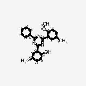 COc1ccc(C)cc1-c1nc(-c2ccccc2)nc(-c2cc(C)ccc2O)n1